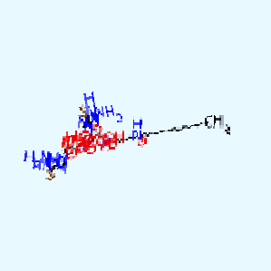 CCCCCCCCCCCCCCCC(=O)NCCCCCCOP(=O)(O)OC[C@H]1O[C@@H](n2cnc3c(=S)[nH]c(N)nc32)C(O)C1OP(=O)(O)OC[C@H]1O[C@@H](n2cnc3c(=S)[nH]c(N)nc32)CC1O